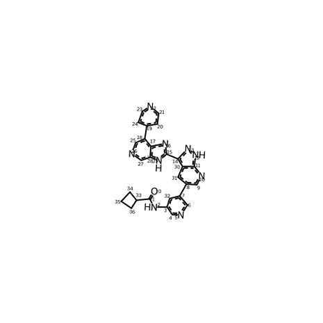 O=C(Nc1cncc(-c2cnc3[nH]nc(-c4nc5c(-c6ccncc6)cncc5[nH]4)c3c2)c1)C1CCC1